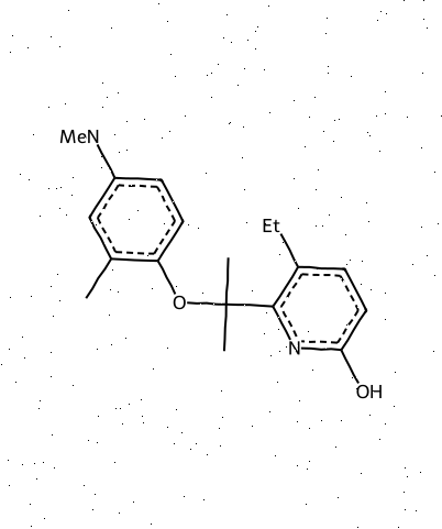 CCc1ccc(O)nc1C(C)(C)Oc1ccc(NC)cc1C